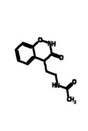 CC(=O)NCCC1C(=O)NOc2ccccc21